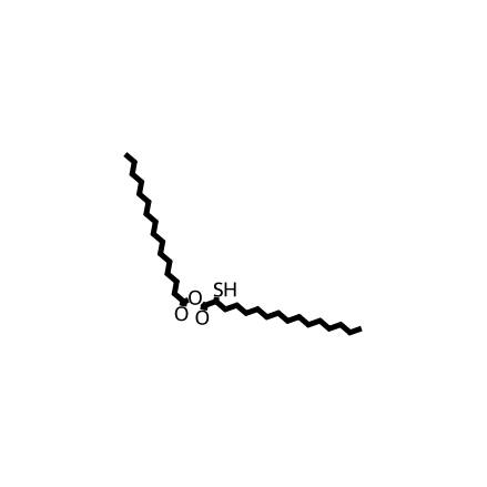 CCCCCCCCCCCCCCCC(=O)OC(=O)C(S)CCCCCCCCCCCCCC